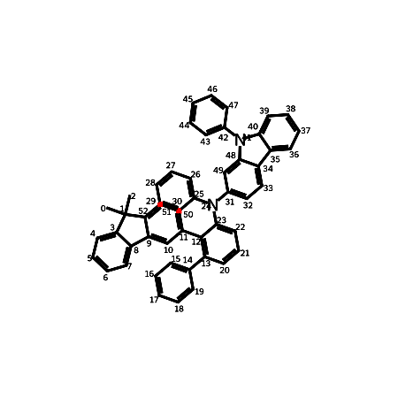 CC1(C)c2ccccc2-c2cc(-c3c(-c4ccccc4)cccc3N(c3ccccc3)c3ccc4c5ccccc5n(-c5ccccc5)c4c3)ccc21